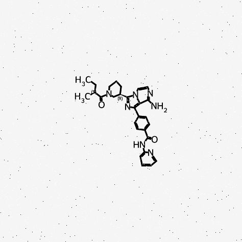 CC[C@H](C)C(=O)N1CCC[C@@H](c2nc(-c3ccc(C(=O)Nc4ccccn4)cc3)c3c(N)nccn23)C1